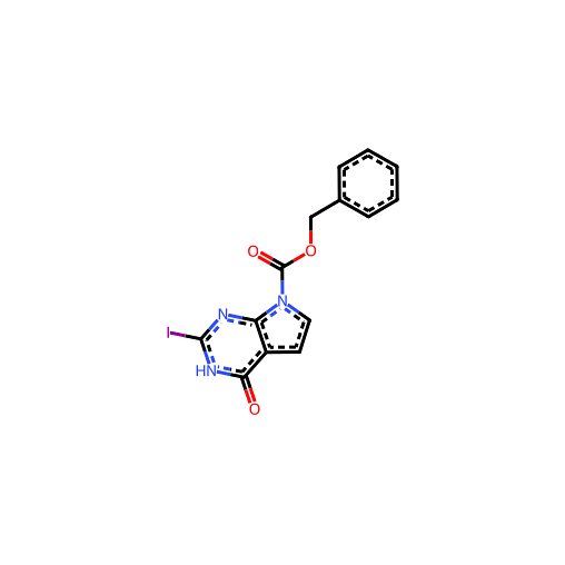 O=C(OCc1ccccc1)n1ccc2c(=O)[nH]c(I)nc21